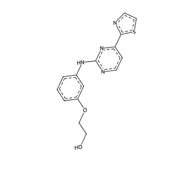 OCCOc1cccc(Nc2nccc(-c3nccs3)n2)c1